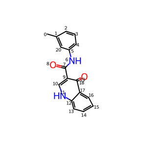 Cc1cccc(NC(=O)c2c[nH]c3ccccc3c2=O)c1